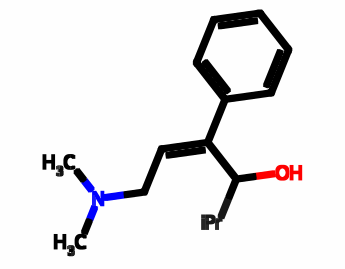 CC(C)C(O)C(=CCN(C)C)c1ccccc1